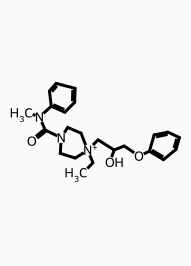 CC[N+]1(CC(O)COc2ccccc2)CCN(C(=O)N(C)c2ccccc2)CC1